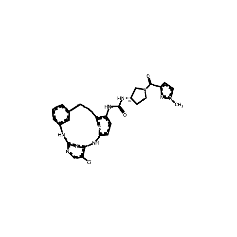 Cn1ccc(C(=O)N2CC[C@H](NC(=O)Nc3ccc4cc3CCc3cccc(c3)Nc3ncc(Cl)c(n3)N4)C2)n1